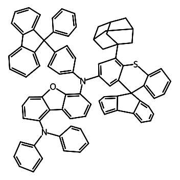 c1ccc(N(c2ccccc2)c2cccc3oc4c(N(c5ccc(C6(c7ccccc7)c7ccccc7-c7ccccc76)cc5)c5cc(C67CC8CC(CC(C8)C6)C7)c6c(c5)C5(c7ccccc7S6)c6ccccc6-c6ccccc65)cccc4c23)cc1